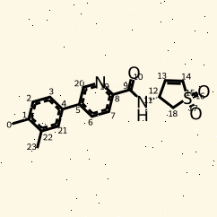 Cc1ccc(-c2ccc(C(=O)N[C@@H]3C=CS(=O)(=O)C3)nc2)cc1C